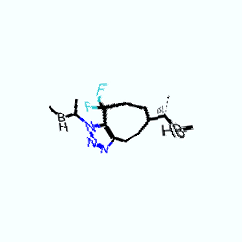 CBC(C)n1nnc2c1C(F)(F)CCC([C@H](C)BC)CC2